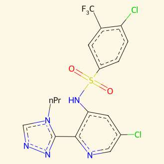 CCCn1cnnc1-c1ncc(Cl)cc1NS(=O)(=O)c1ccc(Cl)c(C(F)(F)F)c1